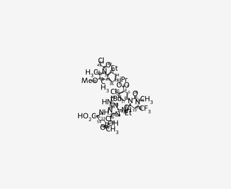 CC(C)OC(=O)c1cc(-n2c(=O)cc(C(F)(F)F)n(C)c2=O)ccc1Cl.CCNc1nc(Cl)nc(NC(C)(C)C)n1.CCc1cccc(C)c1N(C(=O)CCl)C(C)COC.CP(=O)(O)CCC(N)C(=O)O